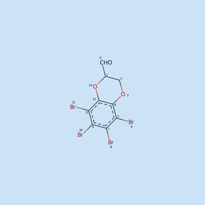 O=CC1COc2c(Br)c(Br)c(Br)c(Br)c2O1